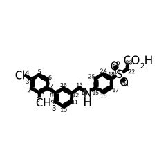 Cc1cc(Cl)ccc1-c1cccc(CNc2ccc(S(=O)(=O)CC(=O)O)cc2)c1